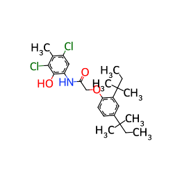 CCC(C)(C)c1ccc(OCC(=O)Nc2cc(Cl)c(C)c(Cl)c2O)c(C(C)(C)CC)c1